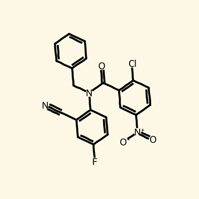 N#Cc1cc(F)ccc1N(Cc1ccccc1)C(=O)c1cc([N+](=O)[O-])ccc1Cl